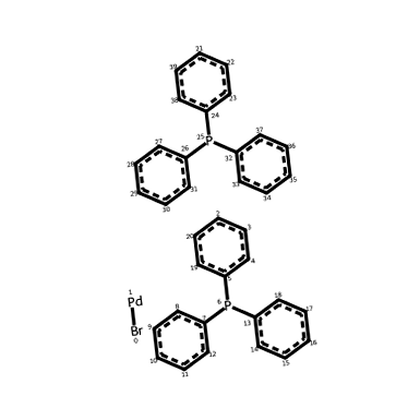 [Br][Pd].c1ccc(P(c2ccccc2)c2ccccc2)cc1.c1ccc(P(c2ccccc2)c2ccccc2)cc1